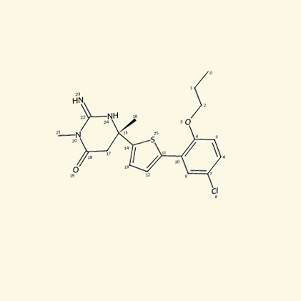 CCCOc1ccc(Cl)cc1-c1ccc([C@]2(C)CC(=O)N(C)C(=N)N2)s1